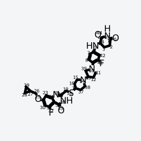 O=C1CCC(Nc2ccc(N3CCC(N4CCC(SCc5nc6cc(OCC7CC7)cc(F)c6c(=O)[nH]5)CC4)C3)c(F)c2)C(=O)N1